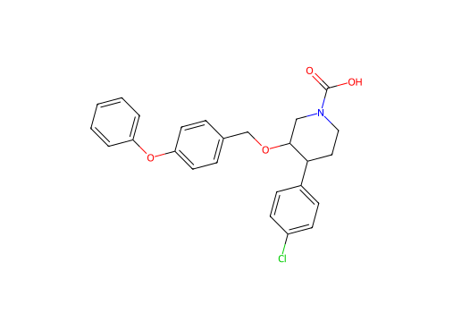 O=C(O)N1CCC(c2ccc(Cl)cc2)C(OCc2ccc(Oc3ccccc3)cc2)C1